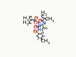 Cc1ccc([S+]([O-])n2cc(F)/c(=N/C(=O)C(C)C)n(COC(=O)C(C)C)c2=O)cc1